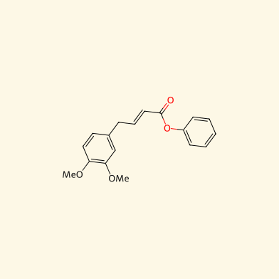 COc1ccc(CC=CC(=O)Oc2ccccc2)cc1OC